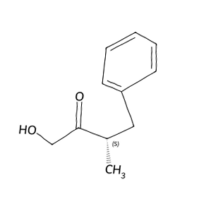 C[C@@H](Cc1ccccc1)C(=O)CO